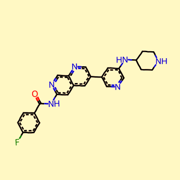 O=C(Nc1cc2cc(-c3cncc(NC4CCNCC4)c3)cnc2cn1)c1ccc(F)cc1